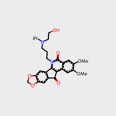 COc1cc2c3c(n(CCCN(CCO)C(C)C)c(=O)c2cc1OC)-c1cc2c(cc1C3=O)OCO2